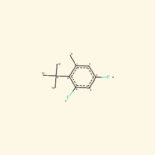 Cc1cc(F)cc(F)c1C(C)(C)C